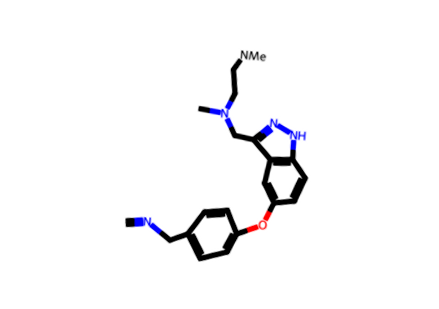 C=NCc1ccc(Oc2ccc3[nH]nc(CN(C)CCNC)c3c2)cc1